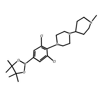 CN1CCC(N2CCN(c3c(Cl)cc(B4OC(C)(C)C(C)(C)O4)cc3Cl)CC2)CC1